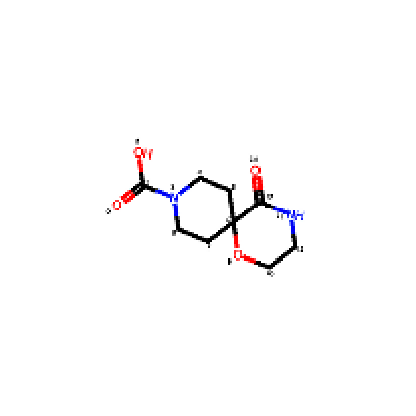 O=C(O)N1CCC2(CC1)OCCNC2=O